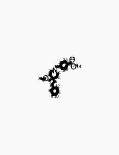 CCOCC1(CCc2ccccc2)CCN(Cc2ccc(C(=O)OC)cc2)CC1